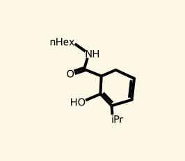 CCCCCCNC(=O)C1CC=CC(C(C)C)=C1O